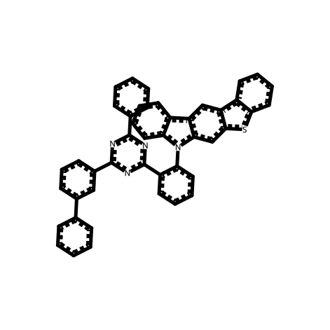 c1ccc(-c2cccc(-c3nc(-c4ccccc4)nc(-c4ccccc4-n4c5ccccc5c5cc6c(cc54)sc4ccccc46)n3)c2)cc1